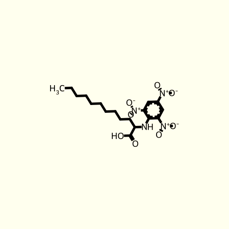 CCCCCCCCCCC(Nc1c([N+](=O)[O-])cc([N+](=O)[O-])cc1[N+](=O)[O-])C(=O)O